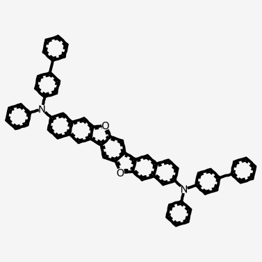 c1ccc(-c2ccc(N(c3ccccc3)c3ccc4cc5c(cc4c3)oc3cc4c(cc35)oc3cc5cc(N(c6ccccc6)c6ccc(-c7ccccc7)cc6)ccc5cc34)cc2)cc1